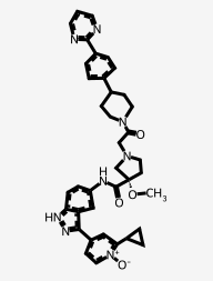 CO[C@@]1(C(=O)Nc2ccc3[nH]nc(-c4cc[n+]([O-])c(C5CC5)c4)c3c2)CCN(CC(=O)N2CCC(c3ccc(-c4ncccn4)cc3)CC2)C1